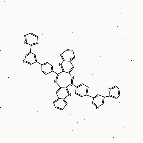 c1ccc(-c2cncc(-c3ccc(/C4=N/c5cc6ccccc6nc5/C(c5ccc(-c6cncc(-c7ccccn7)c6)cc5)=N\c5cc6ccccc6nc54)cc3)c2)nc1